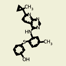 Cc1ccc(Sc2cccc(O)c2)c(Nc2ncnc3nc(C4(C)C=C4)ccc23)c1